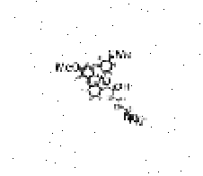 COc1ccc(C(OCC(O)CCCCN=[N+]=[N-])(c2ccccc2)c2ccc(OC)cc2)cc1